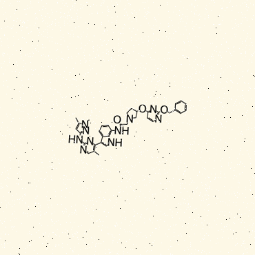 Cc1cnc(Nc2cc(C)n(C)n2)nc1-c1c[nH]c2c(NC(=O)CN3CC[C@H](Oc4ccnc(OCc5ccccc5)n4)C3)cccc12